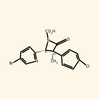 C[C@@]1(c2ccc(Cl)cc2)C(=O)N(C(=O)O)[C@H]1c1ccc(Br)cn1